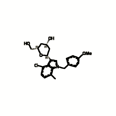 COc1ccc(Cn2cc([C@H]3C[C@@H](O)C[C@@H](CO)O3)c3c(Cl)ccc(C)c32)cc1